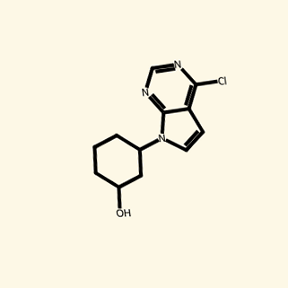 OC1CCCC(n2ccc3c(Cl)ncnc32)C1